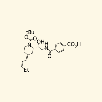 CC/C=C\C=C1/CCN(C(=O)OC(C)(C)C)[C@H](C(O)CNC(=O)c2ccc(C(=O)O)cc2)C1